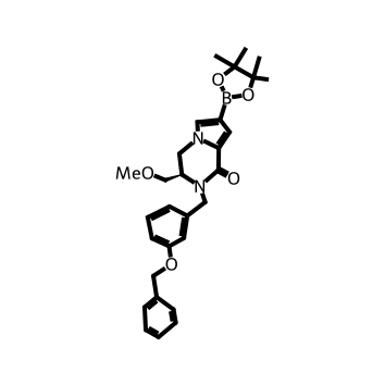 COC[C@H]1Cn2cc(B3OC(C)(C)C(C)(C)O3)cc2C(=O)N1Cc1cccc(OCc2ccccc2)c1